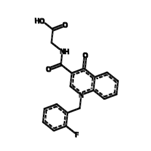 O=C(O)CNC(=O)c1cn(Cc2ccccc2F)c2ccccc2c1=O